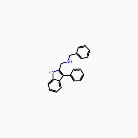 c1ccc(CNCc2[nH]c3ccccc3c2-c2ccccc2)cc1